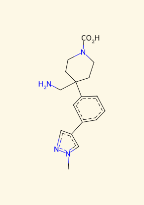 Cn1cc(-c2cccc(C3(CN)CCN(C(=O)O)CC3)c2)cn1